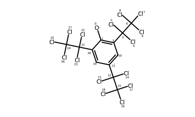 [O]c1c(C(Cl)(Cl)C(Cl)(Cl)Cl)cc(C(Cl)(Cl)C(Cl)(Cl)Cl)cc1C(Cl)(Cl)C(Cl)(Cl)Cl